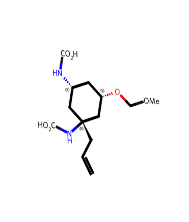 C=CC[C@@]1(NC(=O)O)C[C@H](NC(=O)O)C[C@H](OCOC)C1